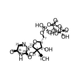 C#CC1(Cl)[C@@H](O)[C@@H](COP(=O)(O)OP(=O)(O)OP(=O)(O)O)O[C@H]1n1ncc(=O)[nH]c1=O